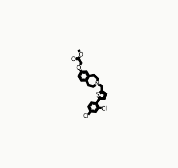 COC(=O)COc1ccc2c(c1)CCN(Cc1ccc(-c3ccc(Cl)cc3Cl)s1)CC2